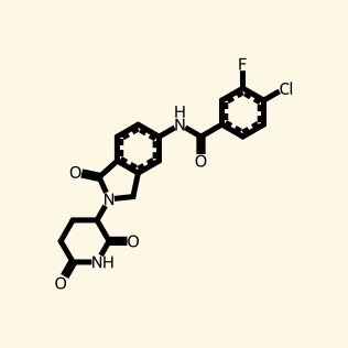 O=C1CCC(N2Cc3cc(NC(=O)c4ccc(Cl)c(F)c4)ccc3C2=O)C(=O)N1